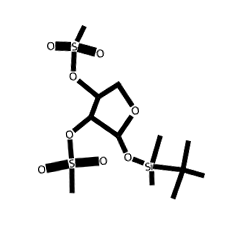 CC(C)(C)[Si](C)(C)OC1OCC(OS(C)(=O)=O)C1OS(C)(=O)=O